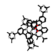 C=C(/C=C\C)N(C)c1cccc(-n2c3ccc(-c4nc(C)nc(C)n4)cc3c3cc(-c4nc(C)nc(C)n4)ccc32)c1-c1nc(-c2ccccc2)nc(-c2c(N(C(C)C)C(C)C)cccc2-n2c3ccc(-c4nc(C)nc(C)n4)cc3c3cc(-c4nc(C)nc(C)n4)ccc32)n1